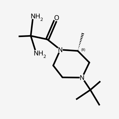 C[C@@H]1CN(C(C)(C)C)CCN1C(=O)C(C)(N)N